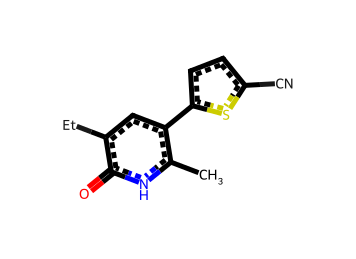 CCc1cc(-c2ccc(C#N)s2)c(C)[nH]c1=O